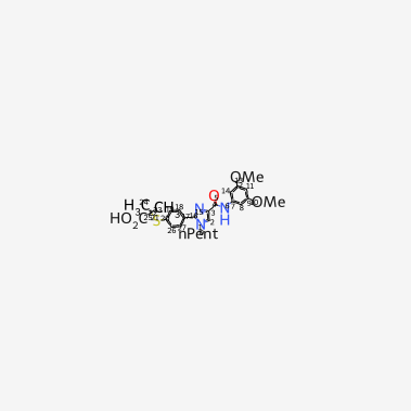 CCCCCn1cc(C(=O)Nc2cc(OC)cc(OC)c2)nc1-c1ccc(SC(C)(C)C(=O)O)cc1